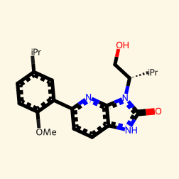 COc1ccc(C(C)C)cc1-c1ccc2[nH]c(=O)n([C@H](CO)C(C)C)c2n1